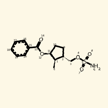 C[C@@H]1[C@@H](COS(N)(=O)=O)CC[C@@H]1OC(=O)c1ccccc1